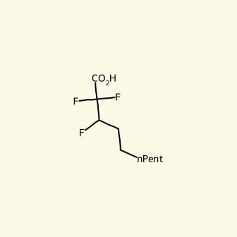 CCCCCCCC(F)C(F)(F)C(=O)O